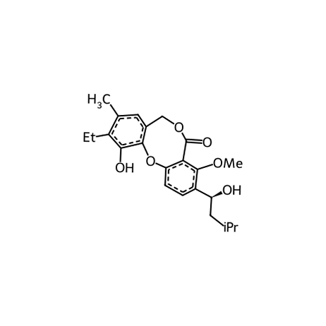 CCc1c(C)cc2c(c1O)Oc1ccc([C@@H](O)CC(C)C)c(OC)c1C(=O)OC2